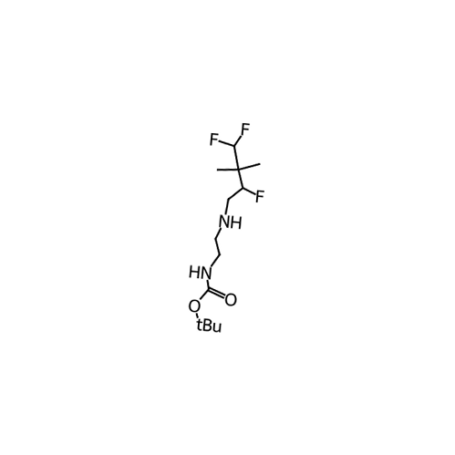 CC(C)(C)OC(=O)NCCNCC(F)C(C)(C)C(F)F